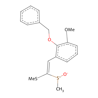 COc1cccc(/C=C(/SC)[S+](C)[O-])c1OCc1ccccc1